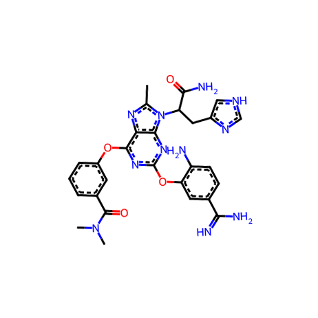 Cc1nc2c(Oc3cccc(C(=O)N(C)C)c3)nc(Oc3cc(C(=N)N)ccc3N)nc2n1C(Cc1c[nH]cn1)C(N)=O